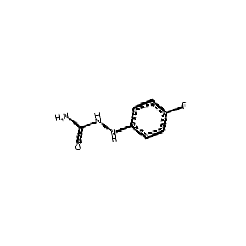 NC(=O)NNc1ccc(F)cc1